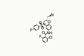 N#CC[C@H]1CN(S(=O)(=O)c2ccc(F)cc2)c2cc(NC(=O)c3c(F)cccc3Cl)ccc2O1